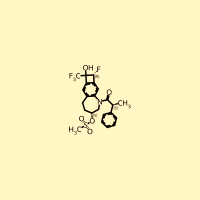 C[C@H](C(=O)N1C[C@@H](OS(C)(=O)=O)CCc2cc3c(cc21)[C@@H](F)C3(O)C(F)(F)F)c1ccccc1